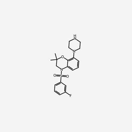 CC1(C)CN(S(=O)(=O)c2cccc(F)c2)c2cccc(N3CCNCC3)c2O1